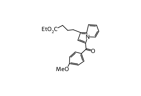 CCOC(=O)CCCc1cc(C(=O)c2ccc(OC)cc2)n2ccccc12